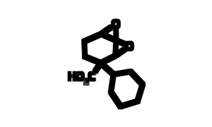 O=C(O)C1(C2CCCCC2)CCC2OC23OC31